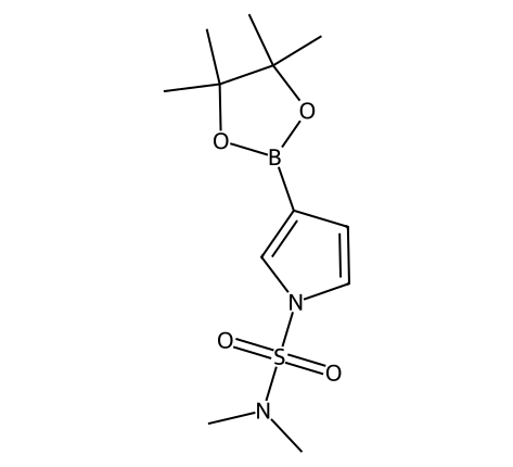 CN(C)S(=O)(=O)n1ccc(B2OC(C)(C)C(C)(C)O2)c1